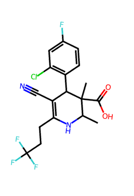 CC1NC(CCC(F)(F)F)=C(C#N)C(c2ccc(F)cc2Cl)C1(C)C(=O)O